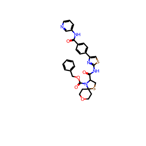 O=C(Nc1cccnc1)c1ccc(-c2csc(NC(=O)C3CSC4(CCOCC4)N3C(=O)OCc3ccccc3)n2)cc1